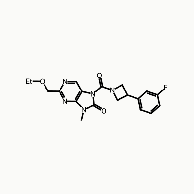 CCOCc1ncc2c(n1)n(C)c(=O)n2C(=O)N1CC(c2cccc(F)c2)C1